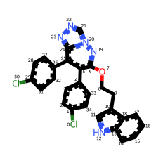 Clc1ccc(-c2c(OCCc3c[nH]c4ccccc34)nn3cnnc3c2-c2ccc(Cl)cc2)cc1